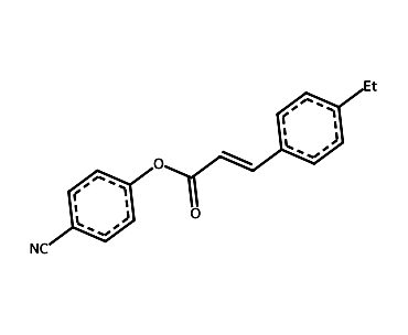 CCc1ccc(/C=C/C(=O)Oc2ccc(C#N)cc2)cc1